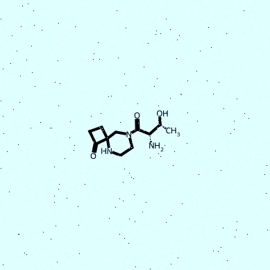 C[C@@H](O)[C@H](N)C(=O)N1CCNC2(CCC2=O)C1